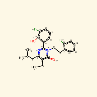 CCc1c(CC(C)C)nc(-c2cccc(F)c2O)n(CCc2ccccc2F)c1=O